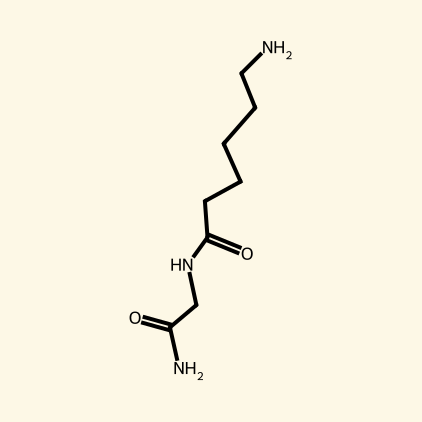 NCCCCCC(=O)NCC(N)=O